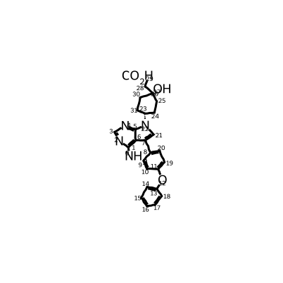 Nc1ncnc2c1c(-c1ccc(Oc3ccccc3)cc1)cn2[C@H]1CC[C@@](O)(CC(=O)O)CC1